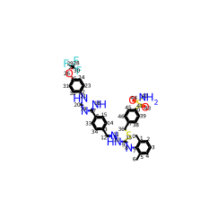 Cc1cccc(C)c1/N=C(/N/N=C/c1ccc(C(=N)/N=C\Nc2ccc(OC(F)(F)F)cc2)cc1)SCc1ccc(S(N)(=O)=O)cc1